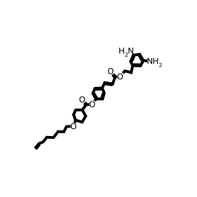 C=CCCCCCCOC1CCC(C(=O)Oc2ccc(/C=C/C(=O)OCCc3cc(N)cc(N)c3)cc2)CC1